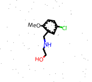 COc1ccc(Cl)cc1CNCCO